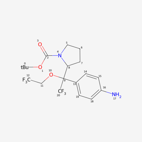 CC(C)(C)OC(=O)N1CCCC1C(OCC(F)(F)F)(c1ccc(N)cc1)C(F)(F)F